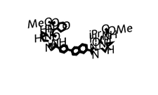 COC(=O)N[C@H](C(=O)N1[C@@H]2C[C@@H]2C[C@H]1c1ncc(-c2ccc3cc(-c4ccc(-c5cnc([C@@H]6C[C@H]7C[C@H]7N6C(=O)[C@@H](NC(=O)OC)C6CCOCC6)[nH]5)cc4)ccc3c2)[nH]1)C(C)C